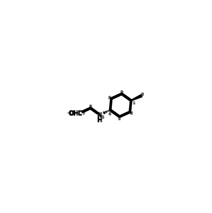 C[C@H]1CC[C@H](NC[C]=O)CC1